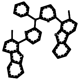 Cc1ccc2c(oc3ccccc32)c1-c1cccc(N(c2ccccc2)c2cccc(-c3c(C)ccc4c3sc3ccccc34)n2)n1